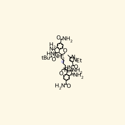 CCn1nc(C)cc1C(=O)N[C@@]1(N)[C@@H]2c3c(cc(C(N)=O)cc3[C@@H]1N)OC[C@H]2C/C=C/C[C@@H]1COc2cc(C(N)=O)cc3c2C1[C@@](N)(NC(=O)C(C)(C)C)C3N